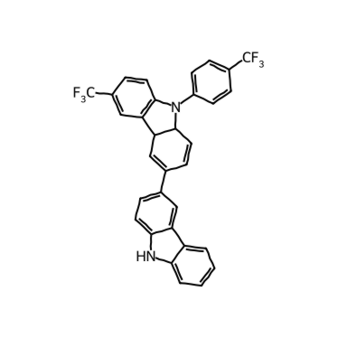 FC(F)(F)c1ccc(N2c3ccc(C(F)(F)F)cc3C3C=C(c4ccc5[nH]c6ccccc6c5c4)C=CC32)cc1